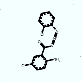 Nc1ccc(Cl)cc1C(=O)N=[N+]=Nc1ccccc1Cl